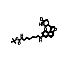 CC(C)(C)OC(=O)NCCCCCCNc1ccc2c(ccc3occ(C4CCC(=O)NC4=O)c32)c1